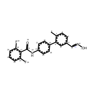 Cc1ccc(/C=N/O)cc1-c1ccc(NC(=O)c2c(F)cccc2F)cc1